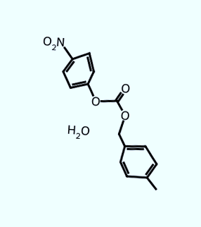 Cc1ccc(COC(=O)Oc2ccc([N+](=O)[O-])cc2)cc1.O